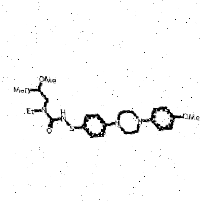 CCN(CC(OC)OC)C(=O)NSc1ccc(N2CCN(c3ccc(OC)cc3)CC2)cc1